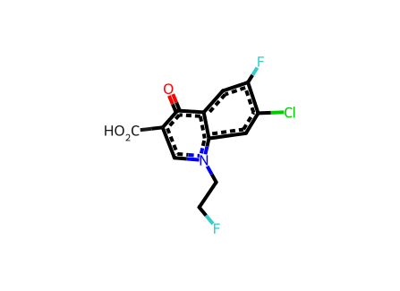 O=C(O)c1cn(CCF)c2cc(Cl)c(F)cc2c1=O